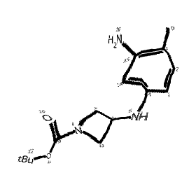 Cc1ccc(NC2CN(C(=O)OC(C)(C)C)C2)cc1N